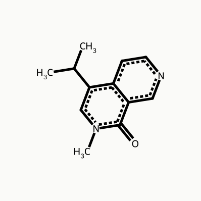 CC(C)c1cn(C)c(=O)c2cnccc12